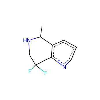 CC1NCC(F)(F)c2ncccc21